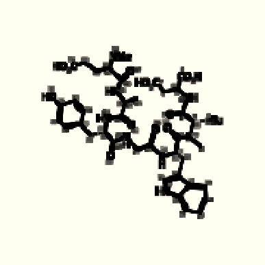 CCCC[C@@H](C(=O)N[C@@H](CC(=O)O)C(=O)O)N(C)C(=O)[C@H](Cc1c[nH]c2ccccc12)NC(=O)CNC(=O)[C@H](Cc1ccc(O)cc1)NC(=O)[C@H](C)NC(=O)[C@@H](CCC(=O)O)NC